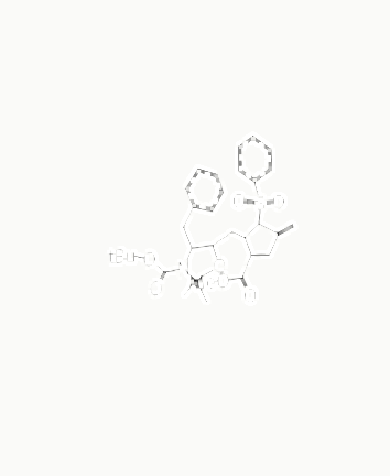 C=C1CC(C(=O)OC)C(CC2OC(C)(C)N(C(=O)OC(C)(C)C)C2Cc2ccccc2)C1S(=O)(=O)c1ccccc1